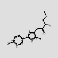 CSCC(C)C(=O)Nc1sc(-c2ccc(Cl)nc2)nc1C